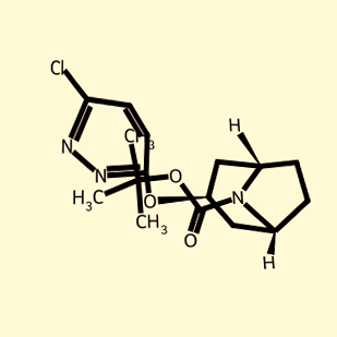 CC(C)(C)OC(=O)N1[C@@H]2CC[C@H]1C[C@H](Oc1ccc(Cl)nn1)C2